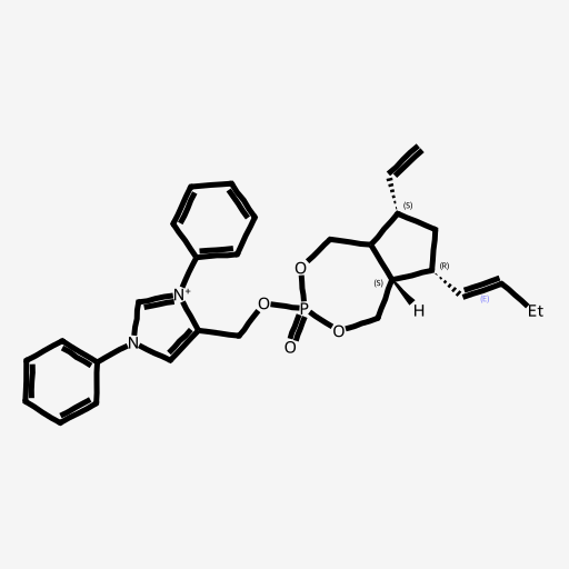 C=C[C@@H]1C[C@H](/C=C/CC)[C@@H]2COP(=O)(OCc3cn(-c4ccccc4)c[n+]3-c3ccccc3)OCC12